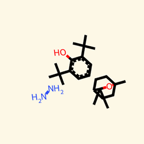 CC(C)(C)c1cccc(C(C)(C)C)c1O.CC12CCC(CC1)C(C)(C)O2.NN